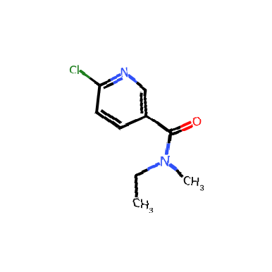 CCN(C)C(=O)c1ccc(Cl)nc1